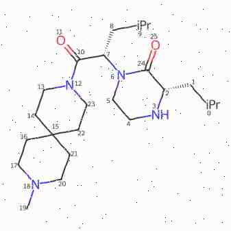 CC(C)C[C@@H]1NCCN([C@@H](CC(C)C)C(=O)N2CCC3(CCN(C)CC3)CC2)C1=O